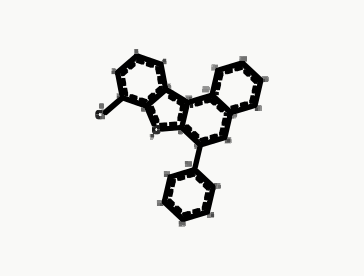 Clc1cccc2c1oc1c(-c3ccccc3)cc3ccccc3c12